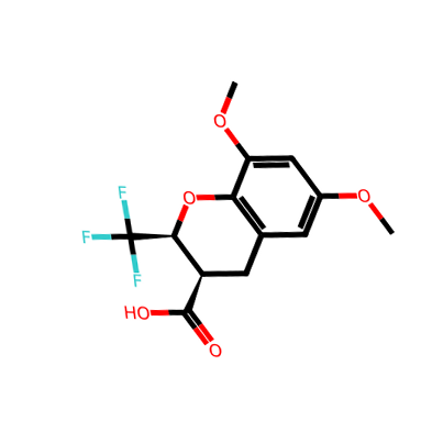 COc1cc2c(c(OC)c1)O[C@H](C(F)(F)F)[C@H](C(=O)O)C2